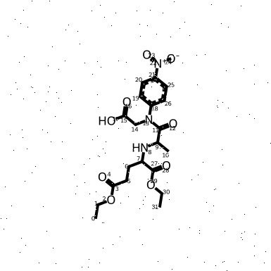 CCOC(=O)CCC(NC(C)C(=O)N(CC(=O)O)c1ccc([N+](=O)[O-])cc1)C(=O)OCC